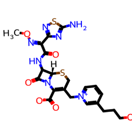 CON=C(C(=O)NC1C(=O)N2C(C(=O)[O-])=C(C[n+]3cccc(CCCO)c3)CS[C@@H]12)c1nsc(N)n1